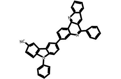 N#Cc1ccc2c(c1)c1cc(-c3ccc4c(c3)nc(-c3ccccc3)c3cc5ccccc5nc34)ccc1n2-c1ccccc1